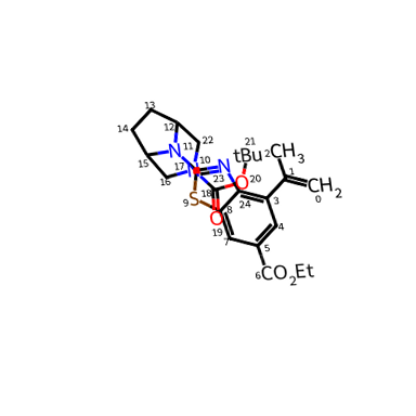 C=C(C)c1cc(C(=O)OCC)cc2sc(N3C4CCC3CN(C(=O)OC(C)(C)C)C4)nc12